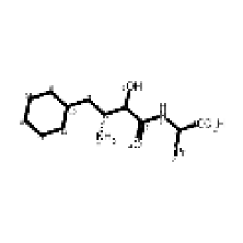 CC(C)C(NC(=O)C(O)[C@H](N)CC1CCCCC1)C(=O)O